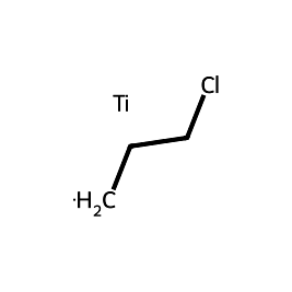 [CH2]CCCl.[Ti]